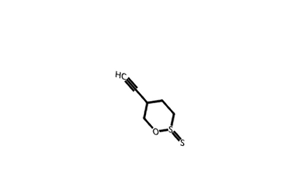 C#CC1CCS(=S)OC1